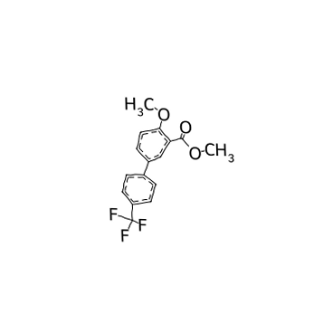 COC(=O)c1cc(-c2ccc(C(F)(F)F)cc2)ccc1OC